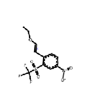 CCO/C=C/c1ccc([N+](=O)[O-])cc1S(=O)(=O)C(F)(F)F